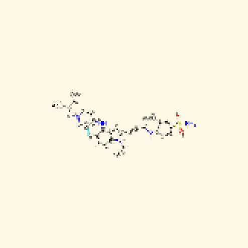 COc1cc(S(N)(=O)=O)ccc1NCC#Cc1cc2c(N[C@@H]3CCN(CC(COC(C)=O)OC(C)=O)C[C@@H]3F)cccc2n1CC(F)(F)F